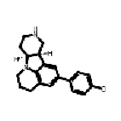 Clc1ccc(-c2cc3c4c(c2)[C@@H]2CNCC[C@@H]2N4CCC3)cc1